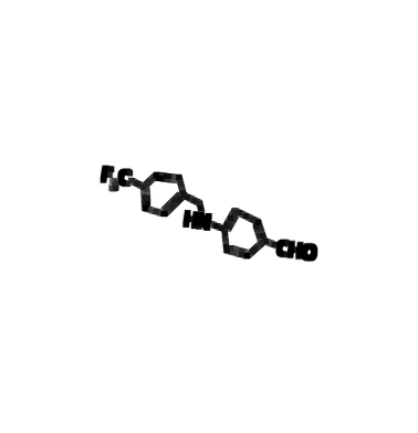 O=Cc1ccc(NCc2ccc(C(F)(F)F)cc2)cc1